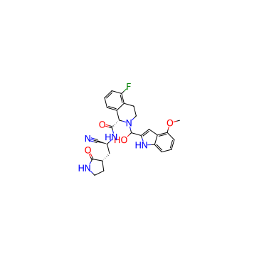 COc1cccc2[nH]c(C(O)N3CCc4c(F)cccc4[C@H]3C(=O)N[C@H](C#N)C[C@@H]3CCNC3=O)cc12